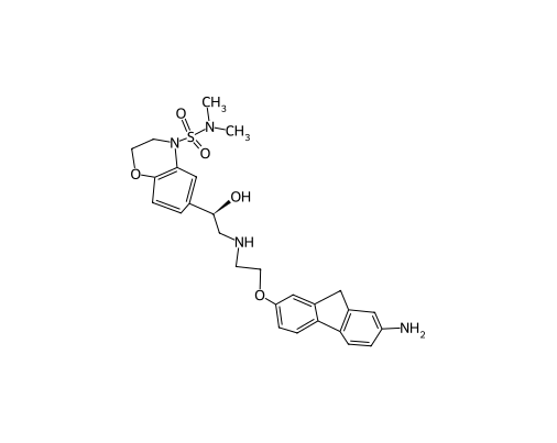 CN(C)S(=O)(=O)N1CCOc2ccc([C@@H](O)CNCCOc3ccc4c(c3)Cc3cc(N)ccc3-4)cc21